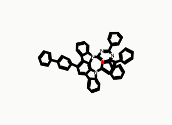 c1ccc(-c2ccc(-c3cc4c5ccccc5n(-c5ccc(-c6ccccc6)cc5)c4c4c3c3ccccc3n4-c3nc(-c4ccccc4)nc(-c4ccccc4)n3)cc2)cc1